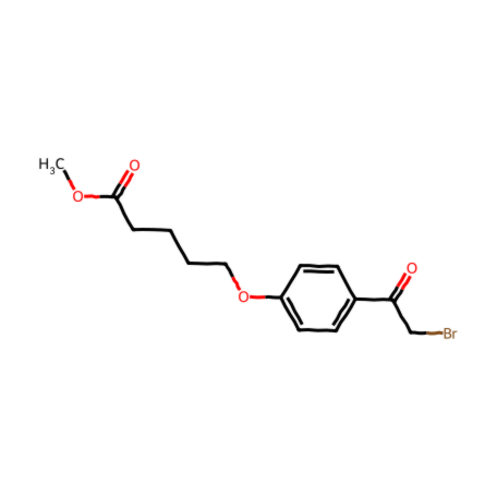 COC(=O)CCCCOc1ccc(C(=O)CBr)cc1